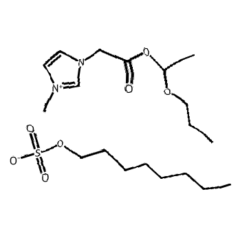 CCCCCCCCOS(=O)(=O)[O-].CCCOC(C)OC(=O)Cn1cc[n+](C)c1